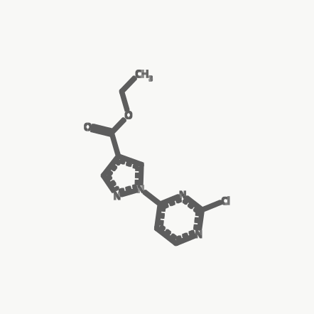 CCOC(=O)c1cnn(-c2ccnc(Cl)n2)c1